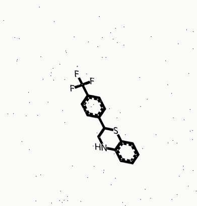 FC(F)(F)c1ccc(C2CNc3ccccc3S2)cc1